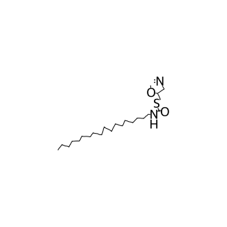 CCCCCCCCCCCCCCCCCCNC(=O)SCC(C[N])OC